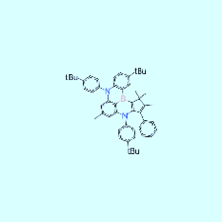 CC1=C(c2ccccc2)C2=C(B3c4cc(C(C)(C)C)ccc4N(c4ccc(C(C)(C)C)cc4)c4cc(C)cc(c43)N2c2ccc(C(C)(C)C)cc2)C1(C)C